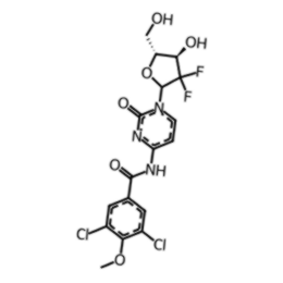 COc1c(Cl)cc(C(=O)Nc2ccn(C3O[C@H](CO)[C@@H](O)C3(F)F)c(=O)n2)cc1Cl